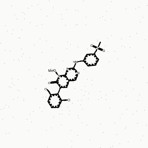 COn1c(=O)c(-c2c(Cl)cccc2Cl)cc2cnc(Nc3cccc(S(C)(=O)=O)c3)nc21